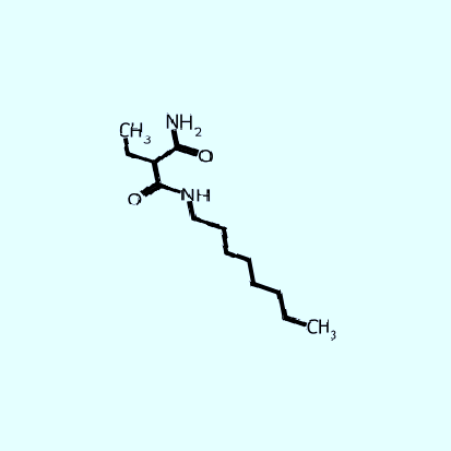 CCCCCCCCNC(=O)C(CC)C(N)=O